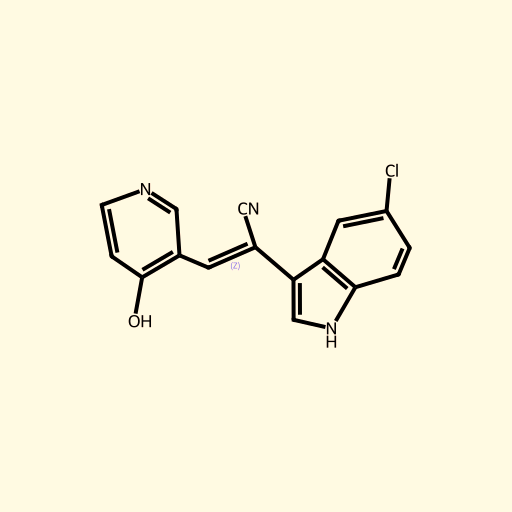 N#C/C(=C\c1cnccc1O)c1c[nH]c2ccc(Cl)cc12